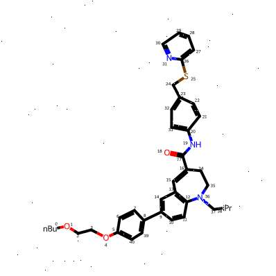 CCCCOCCOc1ccc(-c2ccc3c(c2)C=C(C(=O)Nc2ccc(CSc4ccccn4)cc2)CCN3CC(C)C)cc1